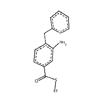 CCSC(=O)c1ccc(Cc2ccccc2)c(N)c1